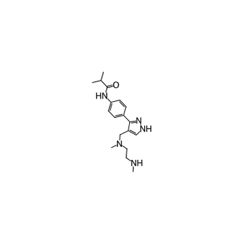 CNCCN(C)Cc1c[nH]nc1-c1ccc(NC(=O)C(C)C)cc1